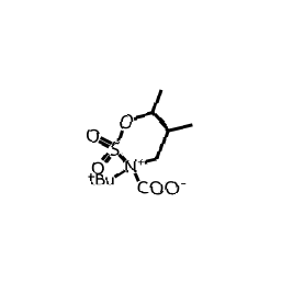 CC1C[N+](C(=O)[O-])(C(C)(C)C)S(=O)(=O)OC1C